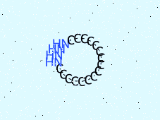 C1CCCCCCCCNNNNCCCCCCC1